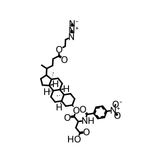 CC(CCC(=O)OCCN=[N+]=[N-])C1CC[C@H]2[C@@H]3CC[C@@H]4C[C@H](OC(=O)C(CC(=O)O)NC(=O)c5ccc([N+](=O)[O-])cc5)CC[C@]4(C)[C@H]3CC[C@]12C